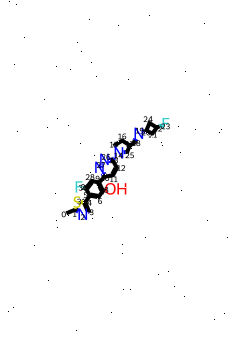 Cc1ncc(-c2cc(O)c(-c3ccc(N4CCC(/C=N/C5CC(F)C5)C4)nn3)cc2F)s1